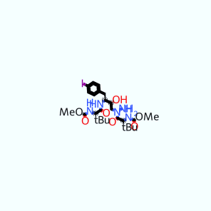 COC(=O)N[C@H](C(=O)N[C@@H](Cc1ccc(I)cc1)[C@@H](O)CN(N)C(=O)[C@@H](NC(=O)OC)C(C)(C)C)C(C)(C)C